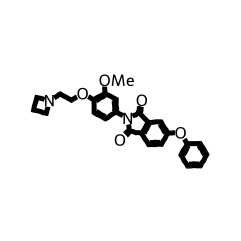 COc1cc(N2C(=O)c3ccc(Oc4ccccc4)cc3C2=O)ccc1OCCN1CCC1